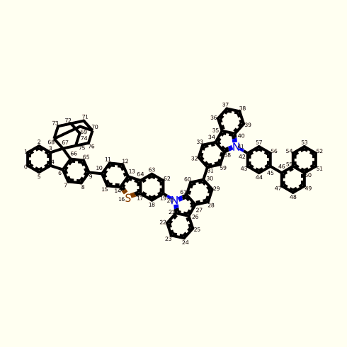 c1ccc2c(c1)-c1ccc(-c3ccc4c(c3)sc3cc(-n5c6ccccc6c6ccc(-c7ccc8c9ccccc9n(-c9ccc(-c%10cccc%11ccccc%10%11)cc9)c8c7)cc65)ccc34)cc1C21C2CC3CC(C2)CC1C3